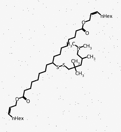 CCCCCC/C=C\COC(=O)CCCCCCCC(CCCCCCCC(=O)OC/C=C\CCCCCC)SSCC(C)(C)CC(C)CN(C)C